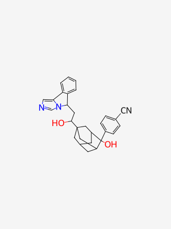 N#Cc1ccc(C2(O)C3CC4CC2CC(C(O)CC2c5ccccc5-c5cncn52)(C4)C3)cc1